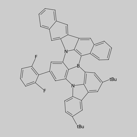 CC(C)(C)c1ccc2c(c1)c1cc(C(C)(C)C)cc3c1n2-c1cc(-c2c(F)cccc2F)cc2c1B3c1c3ccccc3cc3c4cc5ccccc5cc4n-2c13